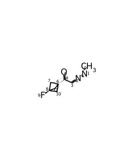 CN=[N+]=CC(=O)[C@]12C[C@@](F)(C1)C2